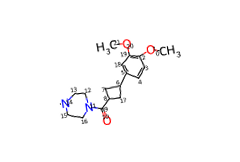 COc1ccc(C2CC(C(=O)N3CC[N]CC3)C2)cc1OC